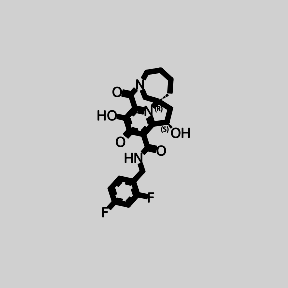 O=C(NCc1ccc(F)cc1F)c1c2n3c(c(O)c1=O)C(=O)N1CCCC[C@@]3(C[C@@H]2O)C1